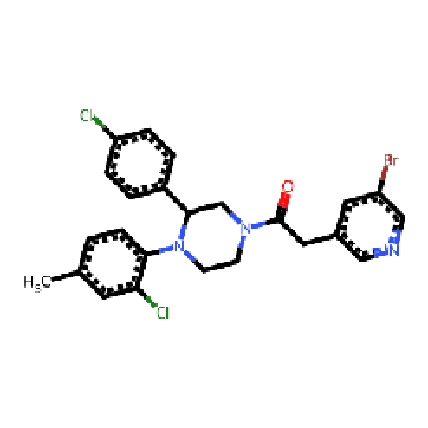 Cc1ccc(N2CCN(C(=O)Cc3cncc(Br)c3)CC2c2ccc(Cl)cc2)c(Cl)c1